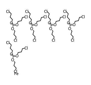 ClCCCOP(OCCCCl)OCCCCl.ClCCCOP(OCCCCl)OCCCCl.ClCCCOP(OCCCCl)OCCCCl.ClCCCOP(OCCCCl)OCCCCl.ClCCCOP(OCCCCl)OCCCCl.[Fe]